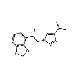 CC(C)c1cn(C[C@@H](C)c2cccc3c2OCO3)nn1